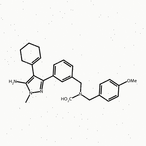 COc1ccc(CN(Cc2cccc(-c3nn(C)c(N)c3C3=CCCCC3)c2)C(=O)O)cc1